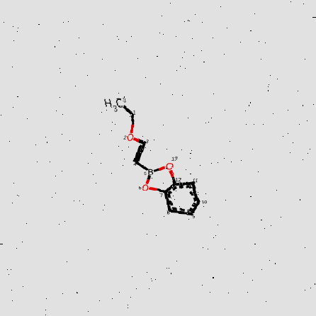 CCOC=CB1Oc2ccccc2O1